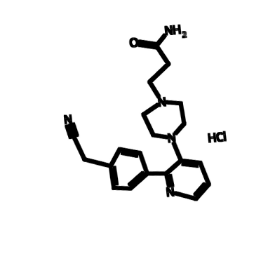 Cl.N#CCc1ccc(-c2ncccc2N2CCN(CCC(N)=O)CC2)cc1